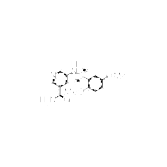 COc1ccc(OC)c(S(=O)(=O)Nc2cncc(C(N)=O)c2)c1